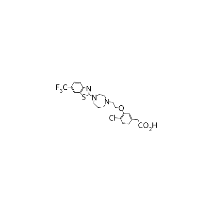 O=C(O)Cc1ccc(Cl)c(OCCN2CCCN(c3nc4ccc(C(F)(F)F)cc4s3)CC2)c1